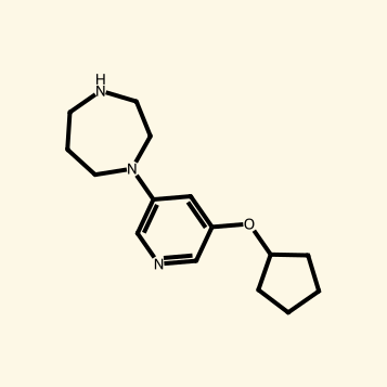 c1ncc(N2CCCNCC2)cc1OC1CCCC1